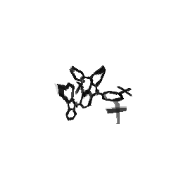 CC(C)(C)c1cc(-n2c3cccc(-c4ccccc4)c3c3c(C(C)(C)C)c(-n4c5ccccc5c5ccccc54)ccc32)cc(C(C)(C)C)c1